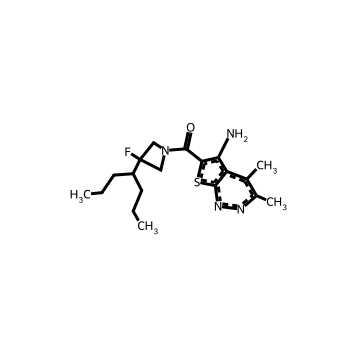 CCCC(CCC)C1(F)CN(C(=O)c2sc3nnc(C)c(C)c3c2N)C1